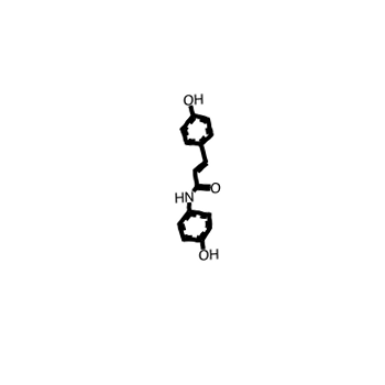 O=C(C=Cc1ccc(O)cc1)Nc1ccc(O)cc1